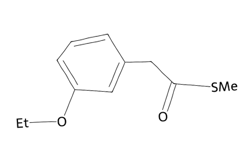 CCOc1cccc(CC(=O)SC)c1